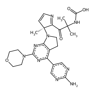 CC(C)(NC(=O)O)C(=O)C1=NC=C[C@]1(C)N1CCc2c(-c3cnc(N)nc3)nc(N3CCOCC3)nc21